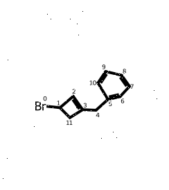 BrC1C=C(Cc2ccccc2)C1